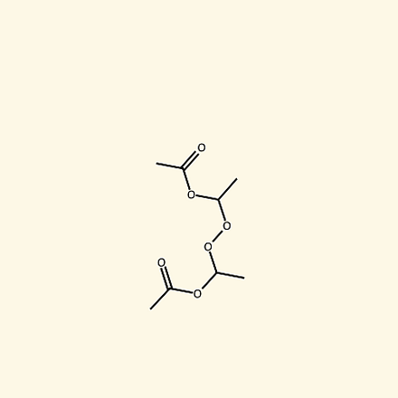 CC(=O)OC(C)OOC(C)OC(C)=O